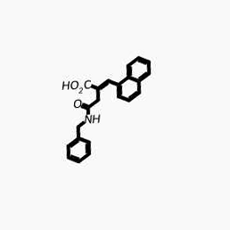 O=C(CC(=Cc1cccc2ccccc12)C(=O)O)NCc1ccccc1